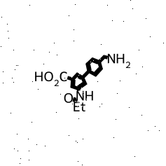 CCC(=O)Nc1cc(C(=O)O)cc(-c2ccc(CN)cc2)c1